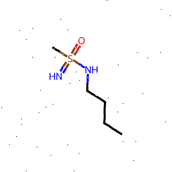 CCCCNS(C)(=N)=O